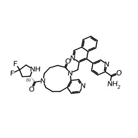 NC(=O)c1ccc(-c2c(CN3C(=O)CCCN(C(=O)[C@@H]4CC(F)(F)CN4)CCCc4ccncc43)ncc3ccccc23)cn1